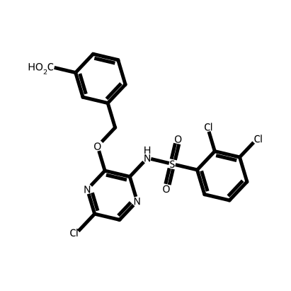 O=C(O)c1cccc(COc2nc(Cl)cnc2NS(=O)(=O)c2cccc(Cl)c2Cl)c1